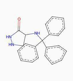 O=C1NNCC1NC(c1ccccc1)(c1ccccc1)c1ccccc1